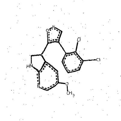 COc1cnc2c(c1)C(c1oncc1-c1cccc(Cl)c1Cl)CN2